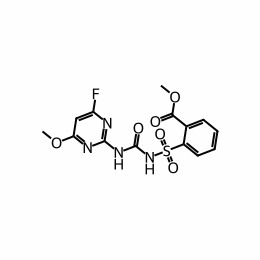 COC(=O)c1ccccc1S(=O)(=O)NC(=O)Nc1nc(F)cc(OC)n1